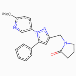 COc1ccc(-n2nc(CN3CCCC3=O)cc2-c2ccccc2)cn1